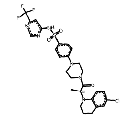 C[C@@H](C(=O)N1CCN(c2ccc(S(=O)(=O)Nc3cc(C(F)(F)F)ncn3)cc2)CC1)N1CCCc2cc(Cl)ccc21